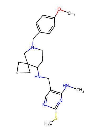 CNc1nc(SC)ncc1CNC1CCN(Cc2ccc(OC)cc2)CC12CCC2